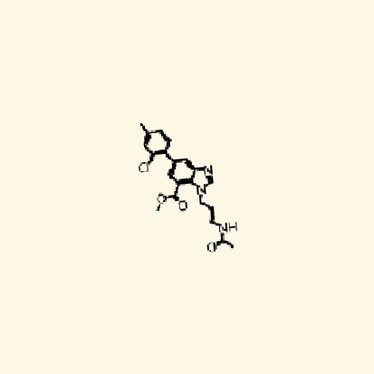 COC(=O)c1cc(-c2ccc(C)cc2Cl)cc2ncn(CCCNC(C)=O)c12